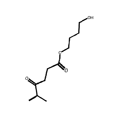 CC(C)C(=O)CCC(=O)OCCCCO